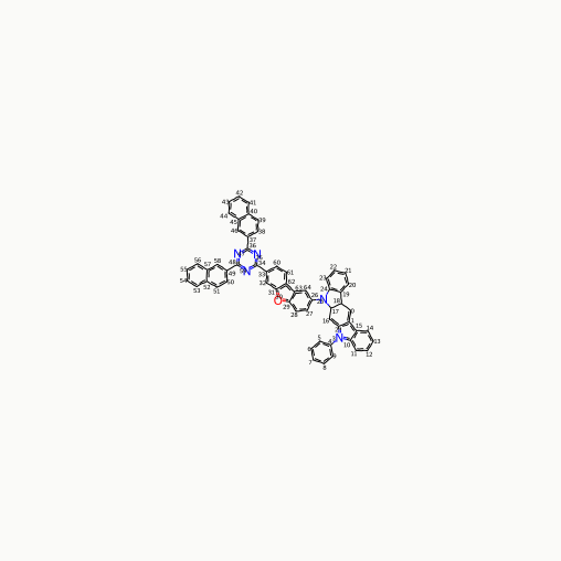 C1=c2c(n(-c3ccccc3)c3ccccc23)=CC2C1c1ccccc1N2c1ccc2oc3cc(-c4nc(-c5ccc6ccccc6c5)nc(-c5ccc6ccccc6c5)n4)ccc3c2c1